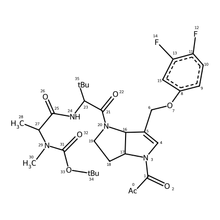 CC(=O)C(=O)N1C=C(COc2ccc(F)c(F)c2)C2C1CCN2C(=O)C(NC(=O)C(C)N(C)C(=O)OC(C)(C)C)C(C)(C)C